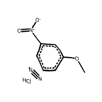 COc1cccc([N+](=O)[O-])c1.Cl.N#N